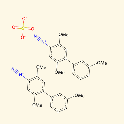 COc1cccc(-c2cc(OC)c([N+]#N)cc2OC)c1.COc1cccc(-c2cc(OC)c([N+]#N)cc2OC)c1.O=S(=O)([O-])[O-]